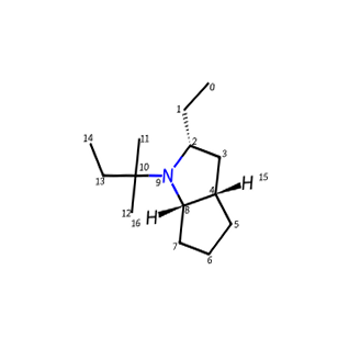 CC[C@@H]1C[C@@H]2CCC[C@@H]2N1C(C)(C)CC